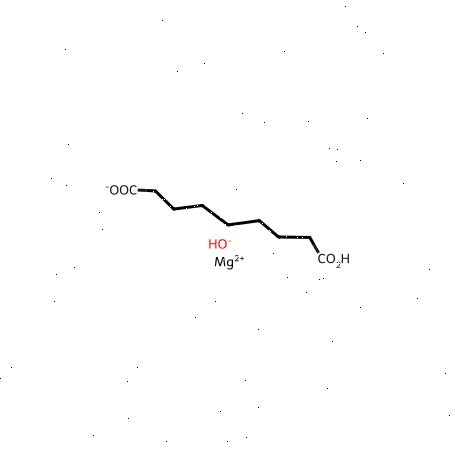 O=C([O-])CCCCCCCC(=O)O.[Mg+2].[OH-]